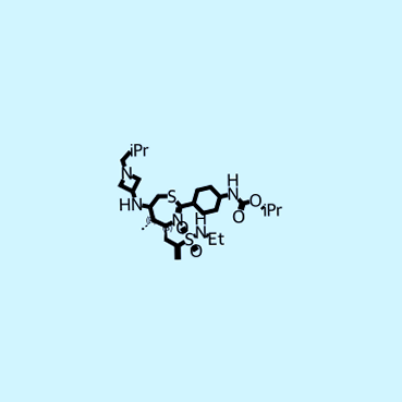 C=C(C[C@@H]1N=C(C2CCC(NC(=O)OC(C)C)CC2)SCC(NC2CN(CC(C)C)C2)[C@H]1C)S(=O)(=O)NCC